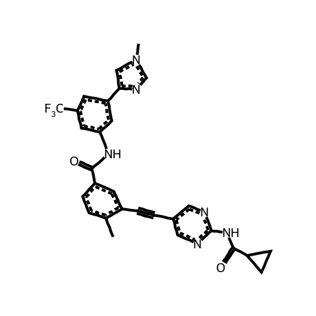 Cc1ccc(C(=O)Nc2cc(-c3cn(C)cn3)cc(C(F)(F)F)c2)cc1C#Cc1cnc(NC(=O)C2CC2)nc1